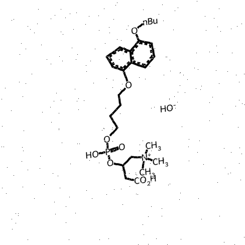 CCCCOc1cccc2c(OCCCCOP(=O)(O)OC(CC(=O)O)C[N+](C)(C)C)cccc12.[OH-]